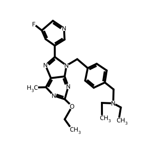 CCOc1nc(C)c2nc(-c3cncc(F)c3)n(Cc3ccc(CN(CC)CC)cc3)c2n1